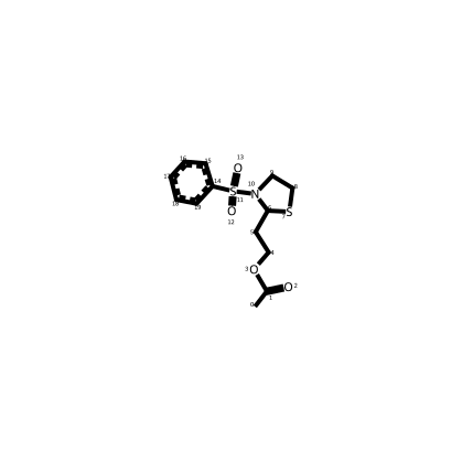 CC(=O)OCCC1SCCN1S(=O)(=O)c1ccccc1